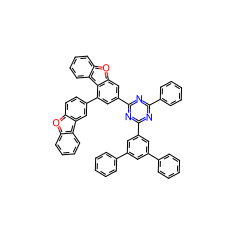 c1ccc(-c2cc(-c3ccccc3)cc(-c3nc(-c4ccccc4)nc(-c4cc(-c5ccc6oc7ccccc7c6c5)c5c(c4)oc4ccccc45)n3)c2)cc1